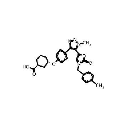 Cc1ccc(Cn2cc(-c3c(-c4ccc(O[C@H]5CCC[C@H](C(=O)O)C5)cc4)nnn3C)oc2=O)cc1